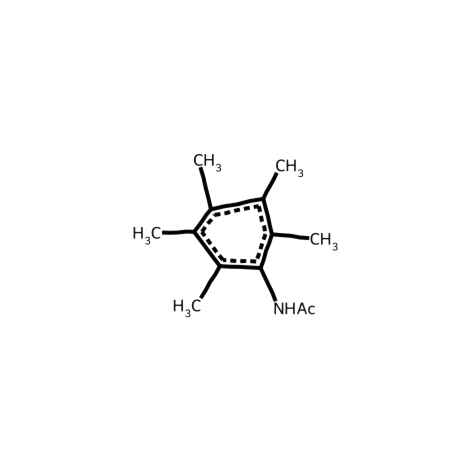 CC(=O)Nc1c(C)c(C)c(C)c(C)c1C